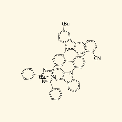 CC(C)(C)c1ccc2c(c1)c1ccccc1n2-c1ccc(-c2nc(-c3ccccc3)nc(-c3ccccc3)n2)cc1-c1cc(-c2ccccc2C#N)ccc1-n1c2ccccc2c2cc(C(C)(C)C)ccc21